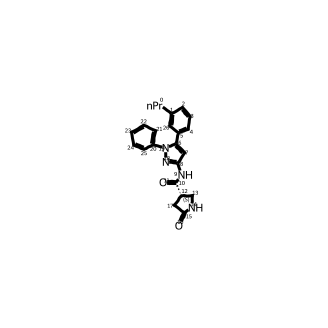 CCCc1cccc(-c2cc(NC(=O)[C@@H]3CNC(=O)C3)nn2-c2ccccc2)c1